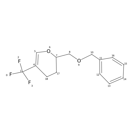 FC(F)(F)C1=COC(COCc2ccccc2)CC1